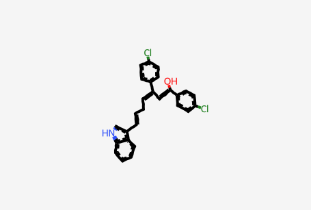 O/C(=C\C(=C/C/C=C/c1c[nH]c2ccccc12)c1ccc(Cl)cc1)c1ccc(Cl)cc1